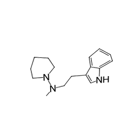 CN(CCc1c[nH]c2ccccc12)N1CCCCC1